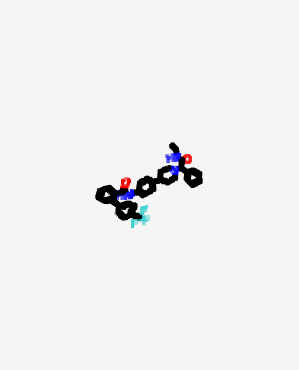 CCNC(=O)C(c1ccccc1)N1CCC(c2ccc(NC(=O)c3ccccc3-c3ccc(C(F)(F)F)cc3)cc2)CC1